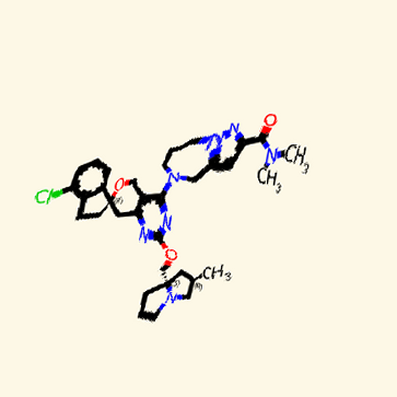 C[C@H]1CN2CCC[C@@]2(COc2nc3c(c(N4CCCn5nc(C(=O)N(C)C)cc5C4)n2)CO[C@]2(CCc4c(Cl)cccc42)C3)C1